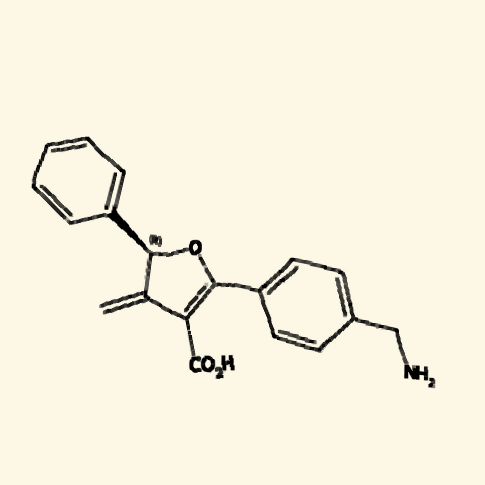 C=C1C(C(=O)O)=C(c2ccc(CN)cc2)O[C@@H]1c1ccccc1